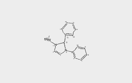 CCCCCCN1C=CN(c2ccccc2)C1c1ccccc1